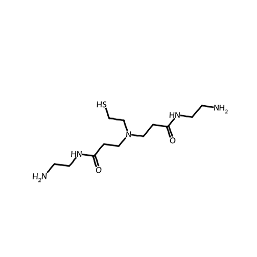 NCCNC(=O)CCN(CCS)CCC(=O)NCCN